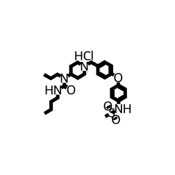 CCCCNC(=O)N(CCC)C1CCN(Cc2ccc(Oc3ccc(NS(C)(=O)=O)cc3)cc2)CC1.Cl